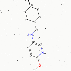 COc1ccc(NC[C@H]2CC[C@H](C)CC2)cn1